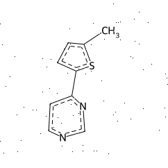 Cc1ccc(-c2ccncn2)s1